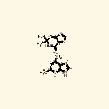 CC1(N)N=C2N=CN=C2C(=O)N1.Cc1nc(N)c2nc[nH]c2n1